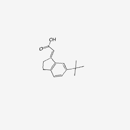 CC(C)(C)c1ccc2c(c1)C(=CC(=O)O)CC2